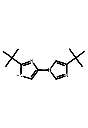 CC(C)(C)c1cn(-c2c[nH]c(C(C)(C)C)n2)cn1